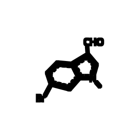 Cn1cc(C=O)c2ccc(Br)cc21